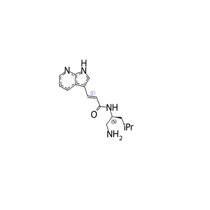 CC(C)C[C@@H](CN)NC(=O)/C=C/c1c[nH]c2ncccc12